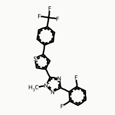 Cn1nc(-c2c(F)cccc2F)nc1-c1csc(-c2ccc(C(F)(F)F)cc2)c1